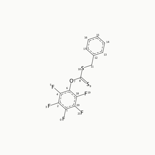 Fc1c(F)c(F)c(OC(=S)SCc2ccccc2)c(F)c1F